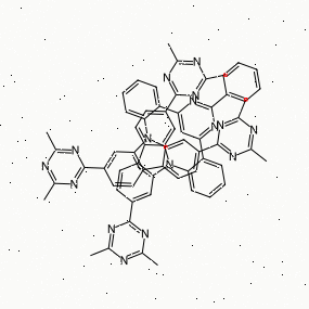 Cc1nc(C)nc(-c2ccc3c4ccc(-c5nc(C)nc(C)n5)cc4n(-c4ccccc4-c4cc(-c5ccccc5-n5c6cc(-c7nc(C)nc(C)n7)ccc6c6ccc(-c7nc(C)nc(C)n7)cc65)nc(-c5ccccc5)n4)c3c2)n1